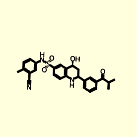 Cc1ccc(NS(=O)(=O)c2ccc3c(c2)[C@@H](O)CC(c2cccc(C(=O)C(C)C)c2)N3)cc1C#N